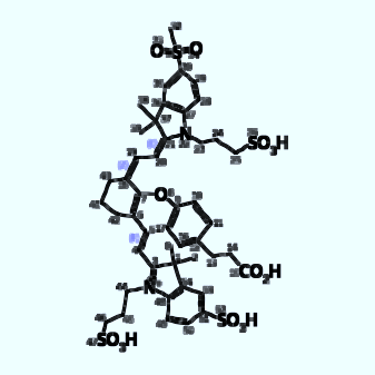 CC1(C)C(/C=C/C2=C(Oc3ccc(CCC(=O)O)cc3)C(=C\C=C3\N(CCCS(=O)(=O)O)c4ccc(S(C)(=O)=O)cc4C3(C)C)/CCC2)=[N+](CCCS(=O)(=O)O)c2ccc(S(=O)(=O)O)cc21